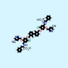 Cc1c(COc2cc(OCc3cncc(C#N)c3)c(CNC(Cc3ccccc3)C(=O)O)cc2Cl)cccc1-c1cccc(COc2cc(OCc3cncc(C#N)c3)c(CNC(Cc3ccccc3)C(=O)O)cc2Cl)c1C